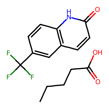 CCCCC(=O)O.O=c1ccc2cc(C(F)(F)F)ccc2[nH]1